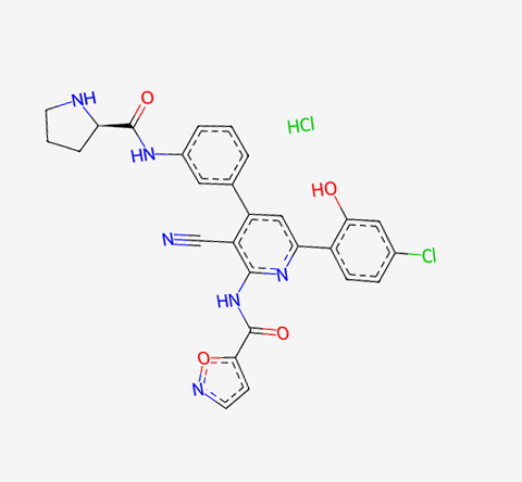 Cl.N#Cc1c(-c2cccc(NC(=O)[C@H]3CCCN3)c2)cc(-c2ccc(Cl)cc2O)nc1NC(=O)c1ccno1